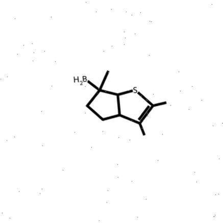 BC1(C)CCC2C(C)=C(C)SC21